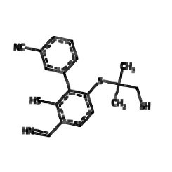 CC(C)(CS)Sc1ccc(C=N)c(S)c1-c1cccc(C#N)c1